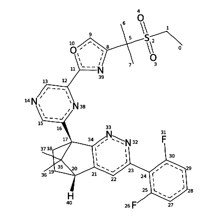 CCS(=O)(=O)C(C)(C)c1coc(-c2cncc([C@@]34CC[C@@H](c5cc(-c6c(F)cccc6F)nnc53)C4(C)C)n2)n1